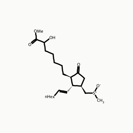 CCCCCCC=C[C@H]1[C@H](C[S+](C)[O-])CC(=O)[C@@H]1CCCCCC(O)C(=O)OC